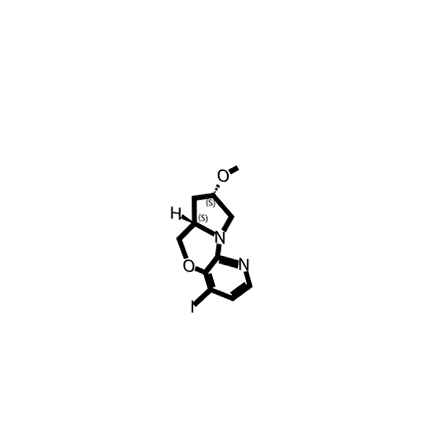 CO[C@H]1C[C@H]2COc3c(I)ccnc3N2C1